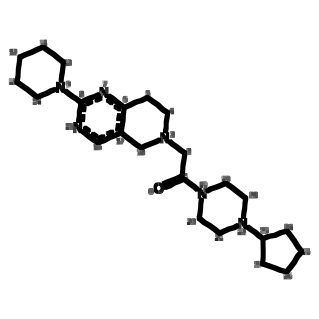 O=C(CN1CCc2nc(N3CCCCC3)ncc2C1)N1CCN(C2CCCC2)CC1